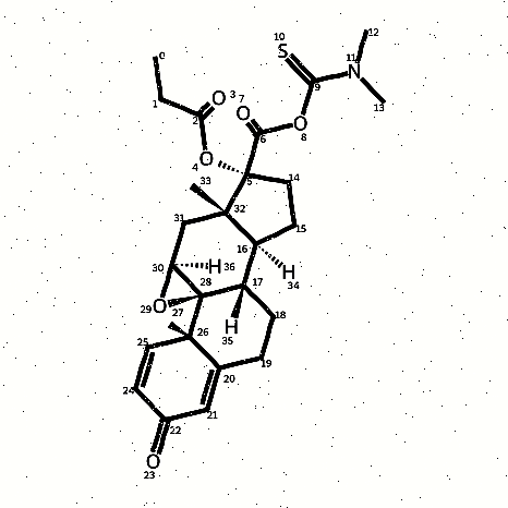 CCC(=O)O[C@]1(C(=O)OC(=S)N(C)C)CC[C@H]2[C@@H]3CCC4=CC(=O)C=C[C@]4(C)[C@@]34O[C@H]4C[C@@]21C